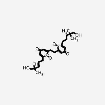 CC(C)(CO)CCCc1cc(=O)cc(CCc2cc(=O)cc(CCCC(C)(C)CO)[s+]2[O-])[s+]1[O-]